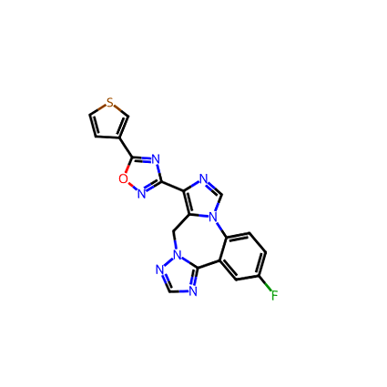 Fc1ccc2c(c1)-c1ncnn1Cc1c(-c3noc(-c4ccsc4)n3)ncn1-2